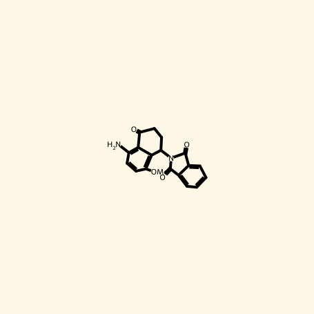 COc1ccc(N)c2c1C(N1C(=O)c3ccccc3C1=O)CCC2=O